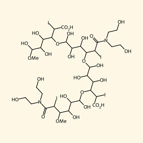 COC(O)C(O)C(O)C(OC(O)C(O)C(O)C(OC(O)C(O)C(O)C(OC(O)C(O)C(O)C(OC)C(I)C(=O)N(CCO)CCO)C(I)C(=O)O)C(I)C(=O)N(CCO)CCO)C(I)C(=O)O